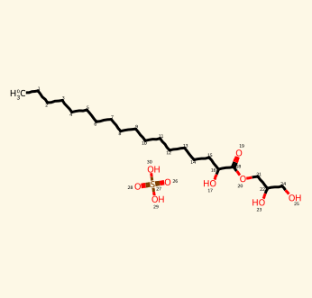 CCCCCCCCCCCCCCCCC(O)C(=O)OCC(O)CO.O=S(=O)(O)O